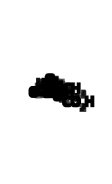 C[C@H](CCC(=O)O)[C@H]1CC[C@H]2[C@@H]3C(=O)C[C@@H]4CC(=O)CC[C@]4(C)[C@H]3CC(=O)[C@]12C